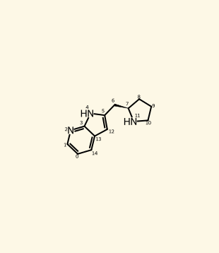 c1cnc2[nH]c(C[C@H]3CCCN3)cc2c1